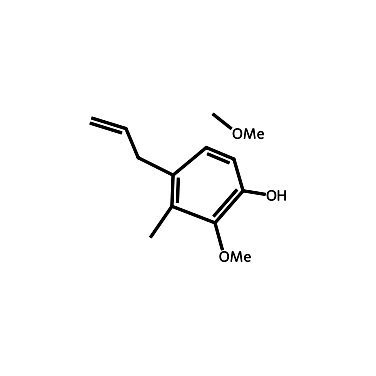 C=CCc1ccc(O)c(OC)c1C.COC